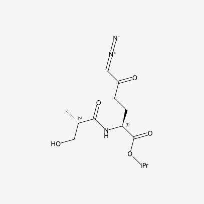 CC(C)OC(=O)[C@H](CCC(=O)C=[N+]=[N-])NC(=O)[C@@H](C)CO